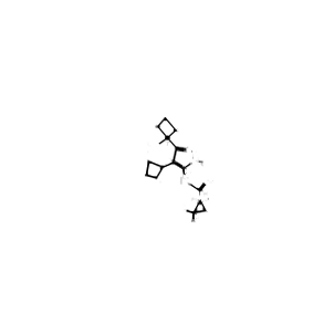 Cn1nc(C2(C(F)(F)F)CCC2)c(C2CCC2)c1NC(=O)[C@H]1CC1(F)F